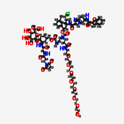 COCCOCCOCCOCCOCCOCCOCCOCCNC(=O)CCN(CCN(C)C(=O)OCc1ccc(O[C@@H]2O[C@H](C(=O)O)[C@@H](O)[C@H](O)[C@H]2O)c(NC(=O)CNC(=O)CCN2C(=O)C=CC2=O)c1)C(=O)Oc1cc2c(c3c(C)cccc13)[C@H](CCl)CN2C(=O)c1cn2cc(NC(=O)c3cc4ccccc4o3)ccc2n1